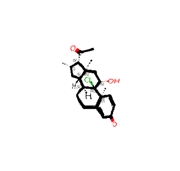 CC(=O)[C@H]1[C@@H](C)C[C@H]2[C@@H]3CCC4=CC(=O)C=C[C@]4(C)[C@@]3(Cl)[C@@H](O)C[C@@]21C